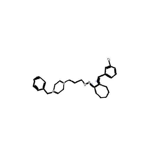 Clc1cccc(/C=C2\CCCCC\C2=N/OCCCN2CCN(Cc3ccccc3)CC2)c1